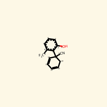 N#CC1(c2c(O)cccc2C(F)(F)F)C=CC=CC1